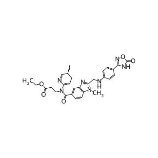 CCOC(=O)CCN(C(=O)c1ccc2c(c1)nc(CNc1ccc(-c3noc(=O)[nH]3)cc1)n2C)C1=CC[C@H](I)C=N1